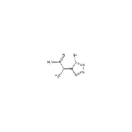 CC(C(N)=O)n1nnnc1S